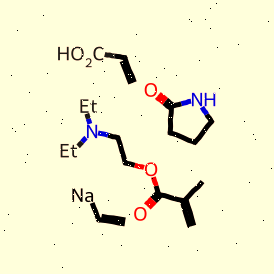 C=C(C)C(=O)OCCN(CC)CC.C=CC(=O)O.C=[CH][Na].O=C1CCCN1